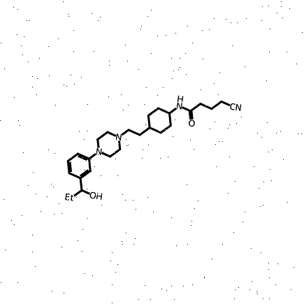 CCC(O)c1cccc(N2CCN(CCC3CCC(NC(=O)CCCC#N)CC3)CC2)c1